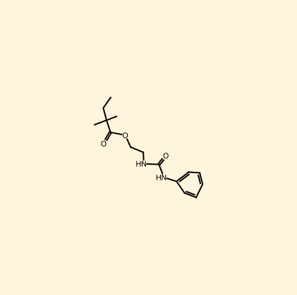 CCC(C)(C)C(=O)OCCNC(=O)Nc1ccccc1